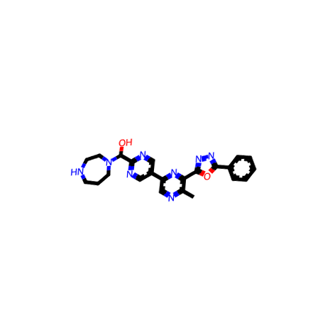 Cc1ncc(-c2cnc(C(O)N3CCCNCC3)nc2)nc1-c1nnc(-c2ccccc2)o1